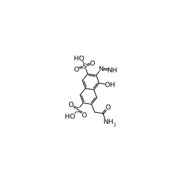 N=Nc1c(S(=O)(=O)O)cc2cc(S(=O)(=O)O)c(CC(N)=O)cc2c1O